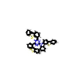 c1ccc2c(c1)sc1c(-c3nc(-c4cccc5sc6ccccc6c45)nc(-n4c5ccccc5c5c6sc7ccccc7c6ccc54)n3)cccc12